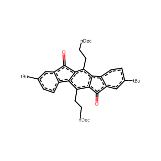 CCCCCCCCCCCCc1c2c(=O)c3cc(C(C)(C)C)ccc3c2c(CCCCCCCCCCCC)c2c(=O)c3cc(C(C)(C)C)ccc3c12